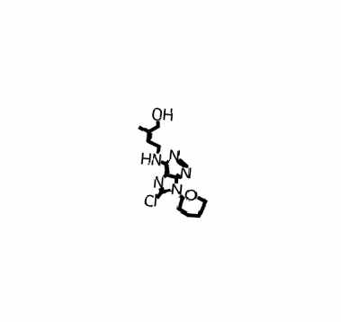 CC(=CCNc1ncnc2c1nc(Cl)n2C1CCCCO1)CO